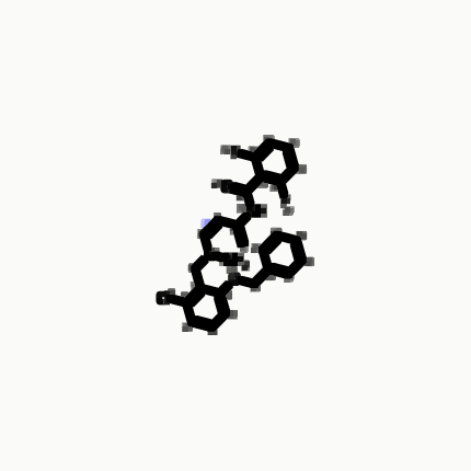 C=C(/C=C\N(N)Cc1c(Cl)cccc1OCc1ccccc1)NC(=O)c1c(F)cccc1F